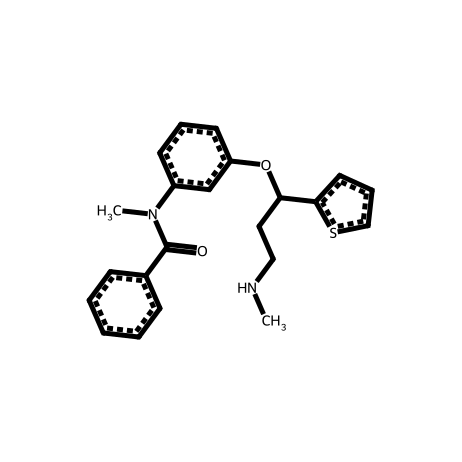 CNCCC(Oc1cccc(N(C)C(=O)c2ccccc2)c1)c1cccs1